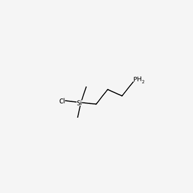 C[Si](C)(Cl)CCCP